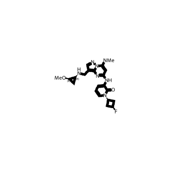 CNc1cc(Nc2cccn([C@H]3C[C@H](F)C3)c2=O)nc2c(CN[C@@H]3C[C@H]3OC)cnn12